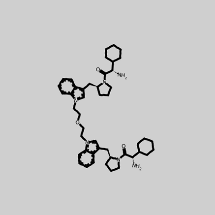 N[C@H](C(=O)N1CCC[C@H]1Cc1cn(CCOCCn2cc(C[C@@H]3CCCN3C(=O)[C@@H](N)C3CCCCC3)c3ccccc32)c2ccccc12)C1CCCCC1